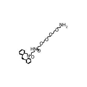 NCCOCCOCCOCCOCCC(=O)NCCC(=O)N1Cc2ccccc2C#Cc2ccccc21